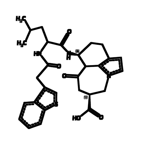 CC(C)CC(NC(=O)Cc1csc2ccccc12)C(=O)N[C@H]1CCc2ccn3c2C1C(=O)C[C@H](C(=O)O)C3